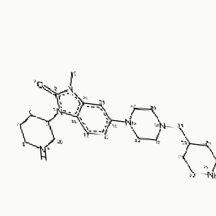 Cn1c(=O)n(C2CCCNC2)c2ccc(N3CCN(CC4CCNCC4)CC3)cc21